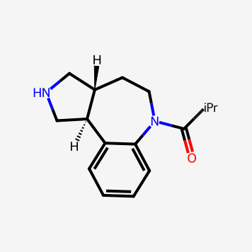 CC(C)C(=O)N1CC[C@H]2CNC[C@@H]2c2ccccc21